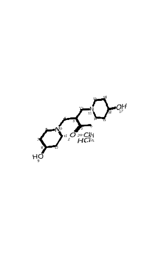 CC(=O)C(CN1CCC(O)CC1)CN1CCC(O)CC1.Cl.Cl